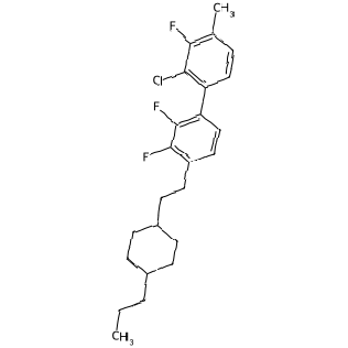 CCCC1CCC(CCc2ccc(-c3ccc(C)c(F)c3Cl)c(F)c2F)CC1